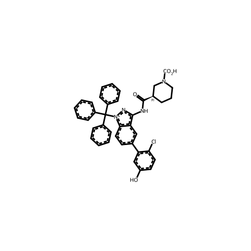 O=C(Nc1nn(C(c2ccccc2)(c2ccccc2)c2ccccc2)c2ccc(-c3cc(O)ccc3Cl)cc12)[C@@H]1CCCN(C(=O)O)C1